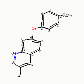 Cc1cnc2cc(Oc3ccc([N+](=O)[O-])cc3)ccc2c1